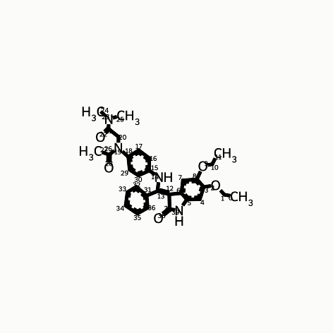 CCOc1cc2c(cc1OCC)C(=C(Nc1ccc(N(CC(=O)N(C)C)C(C)=O)cc1)c1ccccc1)C(=O)N2